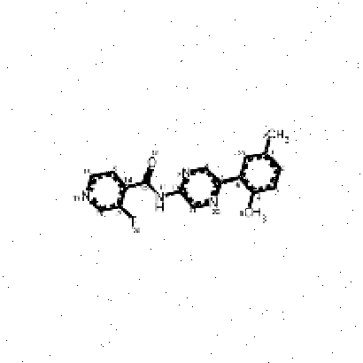 Cc1ccc(C)c(-c2cnc(NC(=O)c3ccncc3F)cn2)c1